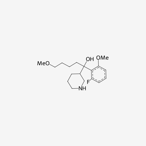 COCCCCC(O)(c1c(F)cccc1OC)C1CCCNC1